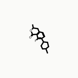 CC1CCC(c2ccc3c(c2F)C(=O)OC(C)C3)CC1